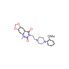 COc1ccccc1N1CCN(CCn2c(=O)c3cc4c(cc3n(C)c2=O)OCO4)CC1